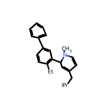 CCc1ccc(-c2ccccc2)cc1C1C=C(CC(C)C)C=CN1C